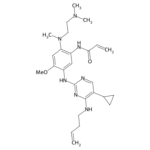 C=CCCNc1nc(Nc2cc(NC(=O)C=C)c(N(C)CCN(C)C)cc2OC)ncc1C1CC1